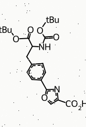 CC(C)(C)OC(=O)NC(Cc1ccc(-c2nc(C(=O)O)co2)cc1)C(=O)OC(C)(C)C